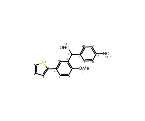 COc1ccc(-c2cccs2)cc1C(C=O)c1ccc([N+](=O)[O-])cc1